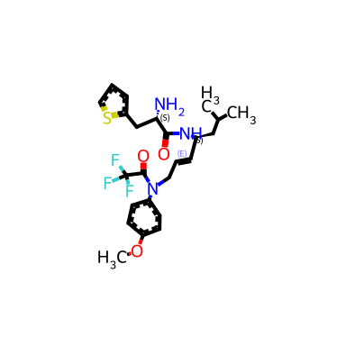 COc1ccc(N(C/C=C/[C@H](CC(C)C)NC(=O)[C@@H](N)Cc2cccs2)C(=O)C(F)(F)F)cc1